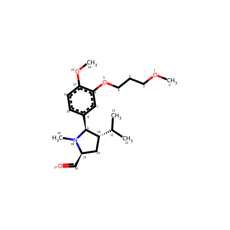 COCCCOc1cc([C@H]2[C@H](C(C)C)C[C@@H](C=O)N2C)ccc1OC